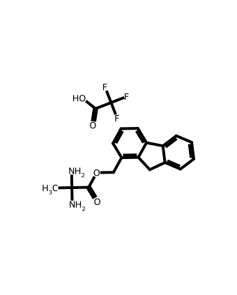 CC(N)(N)C(=O)OCc1cccc2c1Cc1ccccc1-2.O=C(O)C(F)(F)F